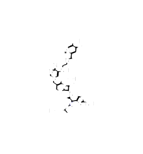 C[C@H](O/N=C(\C(=O)N[C@@H]1C(=O)N2C(C(=O)O)=C(CN3C=C(NCCNC(=O)c4cc(=O)c(O)cn4O)C(N)=NC3)CSC12)c1csc(N)n1)C(=O)O